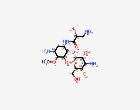 COC1[C@@H](N)C[C@@H](NC(=O)[C@@H](O)CN)[C@H](O[C@H]2O[C@H](CO)[C@@H](O)[C@H](N)[C@H]2O)[C@H]1O